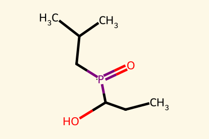 CCC(O)[P](=O)CC(C)C